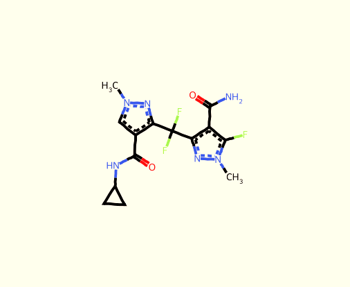 Cn1cc(C(=O)NC2CC2)c(C(F)(F)c2nn(C)c(F)c2C(N)=O)n1